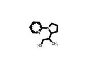 CC(CS)C1CCCN1c1ccccn1